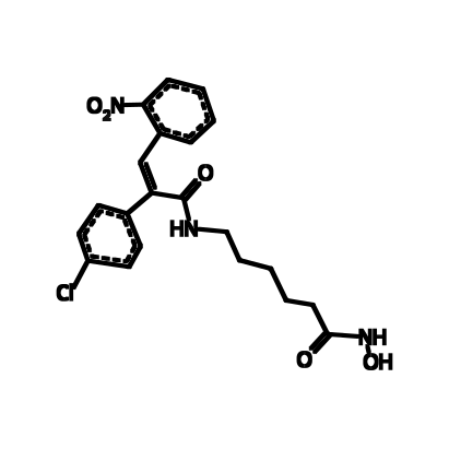 O=C(CCCCCNC(=O)C(=Cc1ccccc1[N+](=O)[O-])c1ccc(Cl)cc1)NO